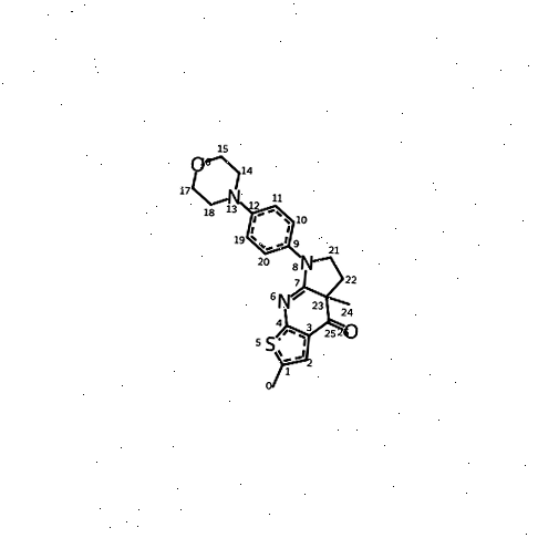 Cc1cc2c(s1)N=C1N(c3ccc(N4CCOCC4)cc3)CCC1(C)C2=O